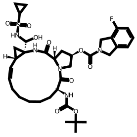 CC(C)(C)OC(=O)N[C@H]1CCCCC/C=C\[C@@H]2C[C@@]2(C(O)NS(=O)(=O)C2CC2)NC(=O)[C@@H]2C[C@@H](OC(=O)N3Cc4cccc(F)c4C3)CN2C1=O